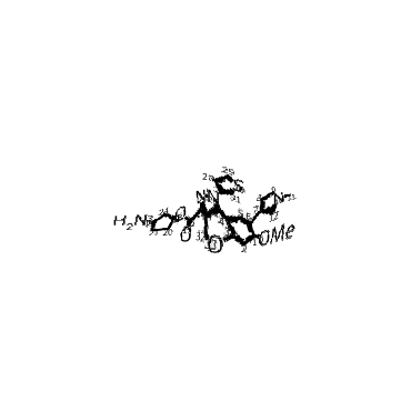 COc1cc2c(cc1-c1ccn(C)c1)-c1c(c(C(=O)O[C@H]3CC[C@H](N)C3)nn1-c1ccsc1)CO2